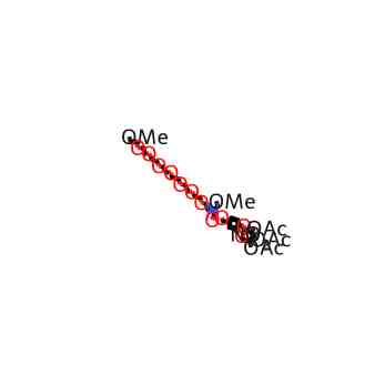 COCCOCCOCCOCCOCCOCCOCCOCCN(COC)C(=O)OCc1ccc(OC2OCC(OC(C)=O)C(OC(C)=O)C2OC(C)=O)c([N+](=O)[O-])c1